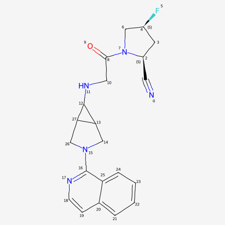 N#C[C@@H]1C[C@H](F)CN1C(=O)CNC1C2CN(c3nccc4ccccc34)CC21